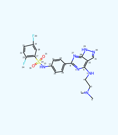 CN(C)CCNc1nc(-c2ccc(NS(=O)(=O)c3cc(F)ccc3F)cc2)nc2[nH]ncc12